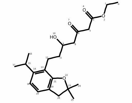 CCOC(=O)CC(=O)CC(O)CCc1c(C(C)C)ccc2c1OC(C)(C)C2